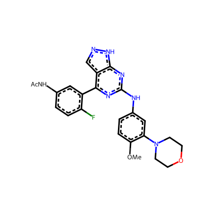 COc1ccc(Nc2nc(-c3cc(NC(C)=O)ccc3F)c3cn[nH]c3n2)cc1N1CCOCC1